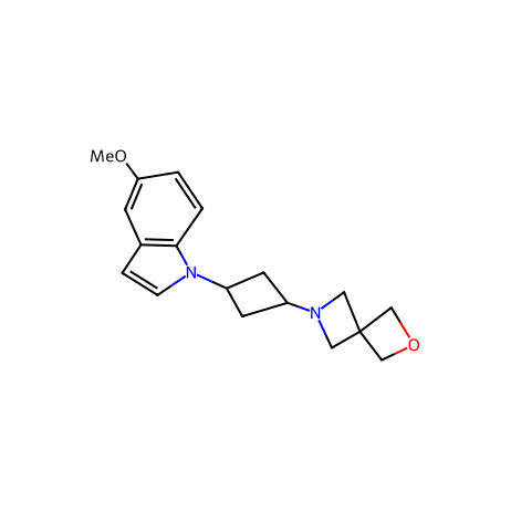 COc1ccc2c(ccn2C2CC(N3CC4(COC4)C3)C2)c1